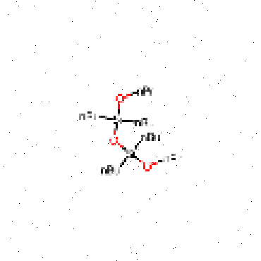 CCCC[Si](CCCC)(OCCC)O[Si](CCCC)(CCCC)OCCC